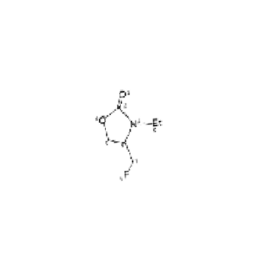 CCN1C(=O)OCC1CF